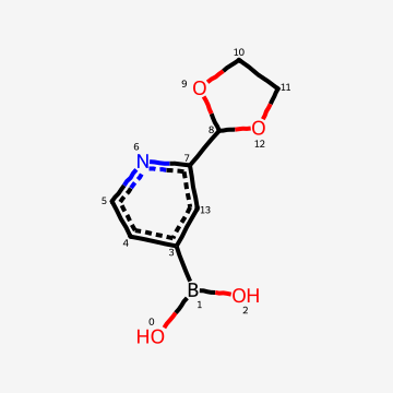 OB(O)c1ccnc(C2OCCO2)c1